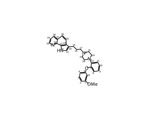 COc1cccc(Oc2ccccc2N2CCN(CCCc3c[nH]c4c3ccc3cccnc34)CC2)c1